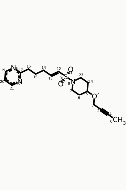 CC#CCOC1CCN(S(=O)(=O)C=CCCCc2ncccn2)CC1